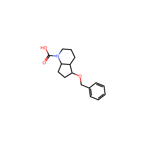 O=C(O)N1CCCC2C(OCc3ccccc3)CCC21